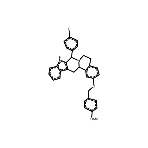 COc1ccc(COc2ccc3c(c2)C2Cc4c([nH]c5ccccc45)C(c4ccc(F)cc4)N2CC3)cc1